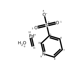 O.O=S(=O)([O-])c1cccnc1.[CH2]=[Pd+]